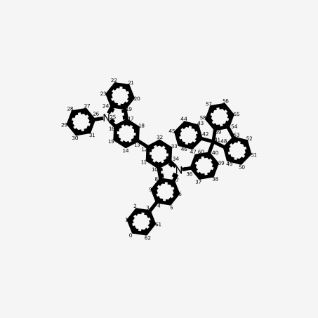 c1ccc(-c2ccc3c(c2)c2cc(-c4ccc5c(c4)c4ccccc4n5-c4ccccc4)ccc2n3-c2cccc(C3(c4ccccc4)c4ccccc4-c4ccccc43)c2)cc1